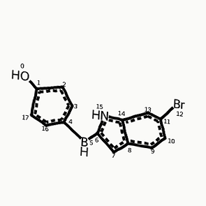 Oc1ccc(Bc2cc3ccc(Br)cc3[nH]2)cc1